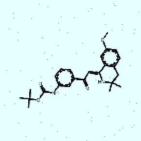 COc1ccc2c(c1)C(=CC(=O)c1cccc(NC(=O)OC(C)(C)C)c1)NC(C)(C)C2